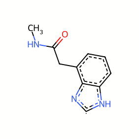 CNC(=O)Cc1cccc2[nH][c]nc12